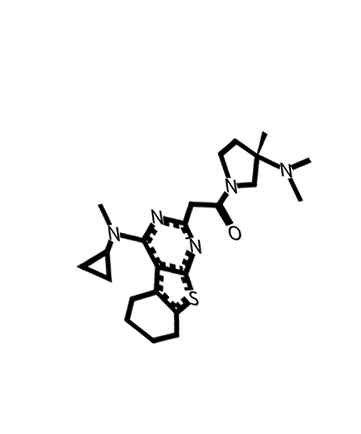 CN(c1nc(CC(=O)N2CC[C@](C)(N(C)C)C2)nc2sc3c(c12)CCCC3)C1CC1